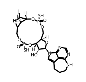 O=[P@]1(S)OC[C@H]2O[C@@H](n3cc4c5c(ncnc53)NCCC4)[C@H](O)[C@@H]2O[P@](=O)(S)OCC2O[C@@H](I)[C@H](O1)[C@@H]2O